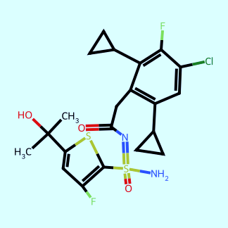 CC(C)(O)c1cc(F)c(S(N)(=O)=NC(=O)Cc2c(C3CC3)cc(Cl)c(F)c2C2CC2)s1